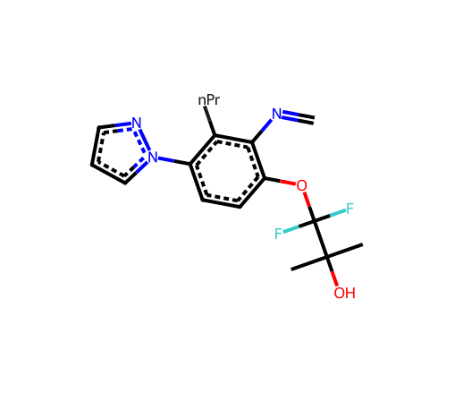 C=Nc1c(OC(F)(F)C(C)(C)O)ccc(-n2cccn2)c1CCC